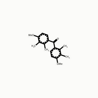 COc1ccc(C(=O)c2ccc(OC)c(C)c2C)c(C)c1C